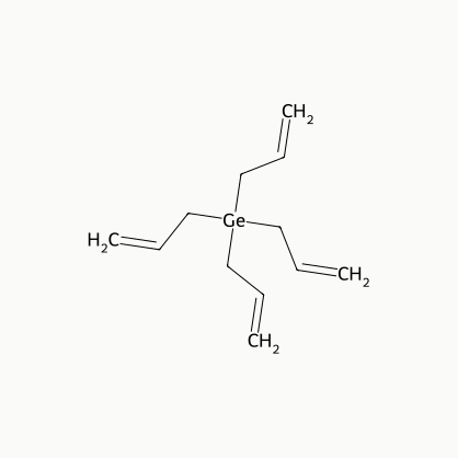 C=C[CH2][Ge]([CH2]C=C)([CH2]C=C)[CH2]C=C